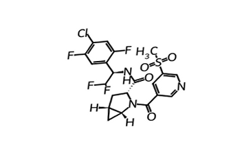 CS(=O)(=O)c1cncc(C(=O)N2[C@@H](C(=O)N[C@H](c3cc(F)c(Cl)cc3F)C(F)F)C[C@H]3C[C@H]32)c1